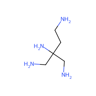 NCCC(N)(CN)CN